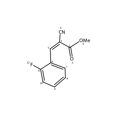 COC(=O)/C(C#N)=C\c1ccccc1F